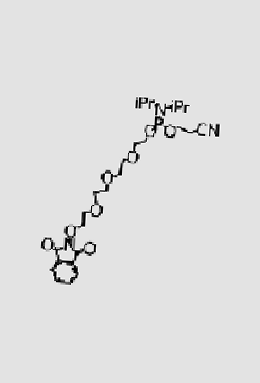 CC(C)N(C(C)C)P(OCCC#N)OCCOCCOCCOCCON1C(=O)c2ccccc2C1=O